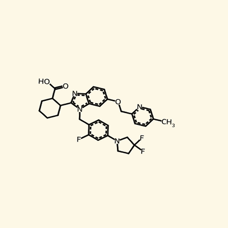 Cc1ccc(COc2ccc3nc(C4CCCCC4C(=O)O)n(Cc4ccc(N5CCC(F)(F)C5)cc4F)c3c2)nc1